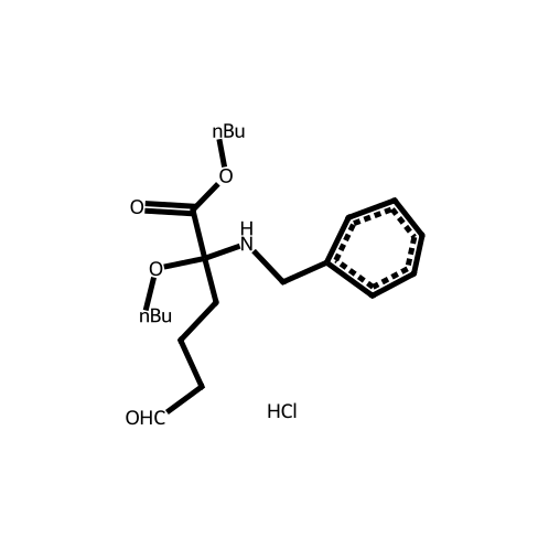 CCCCOC(=O)C(CCCC=O)(NCc1ccccc1)OCCCC.Cl